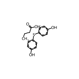 CCCC(=O)O.Oc1ccc(Sc2ccc(O)cc2)cc1